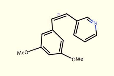 COc1cc(/C=C\c2cccnc2)cc(OC)c1